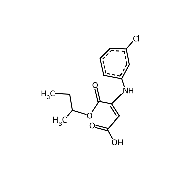 CCC(C)OC(=O)C(=CC(=O)O)Nc1cccc(Cl)c1